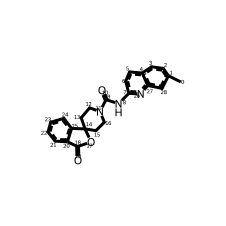 Cc1ccc2ccc(NC(=O)N3CCC4(CC3)OC(=O)c3ccccc34)nc2c1